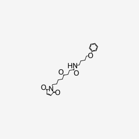 O=C(CCCCN1C(=O)C=CC1=O)CCC(=O)NCCCCOc1ccccc1